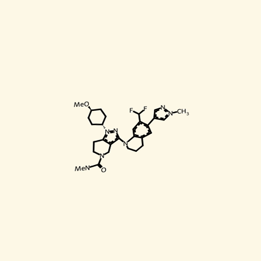 CNC(=O)N1CCc2c(c(N3CCCc4cc(-c5cnn(C)c5)c(C(F)F)cc43)nn2[C@H]2CC[C@H](OC)CC2)C1